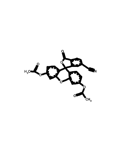 CC(=O)Oc1ccc2c(c1)Oc1cc(OC(C)=O)ccc1C21OC(=O)c2ccc(C#N)cc21